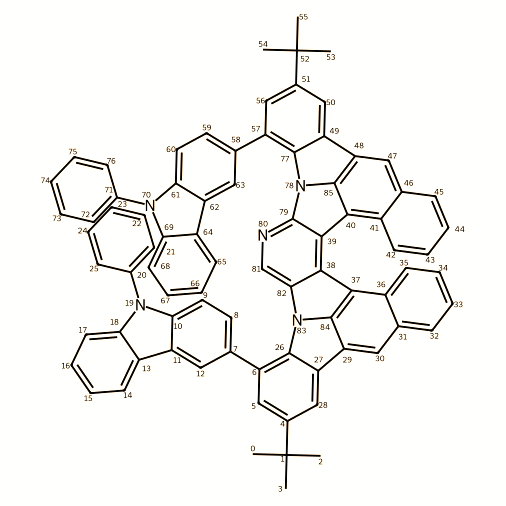 CC(C)(C)c1cc(-c2ccc3c(c2)c2ccccc2n3-c2ccccc2)c2c(c1)c1cc3ccccc3c3c4c5c6c7ccccc7cc7c8cc(C(C)(C)C)cc(-c9ccc%10c(c9)c9ccccc9n%10-c9ccccc9)c8n(c5ncc4n2c13)c76